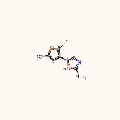 Cc1ncc(-c2cc(C)sc2F)o1